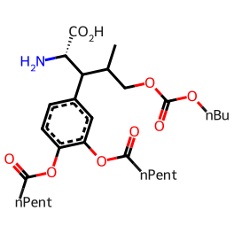 CCCCCC(=O)Oc1ccc(C(C(C)COC(=O)OCCCC)[C@H](N)C(=O)O)cc1OC(=O)CCCCC